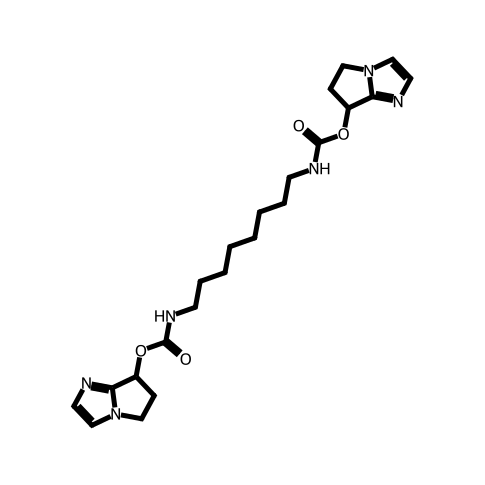 O=C(NCCCCCCCCNC(=O)OC1CCn2ccnc21)OC1CCn2ccnc21